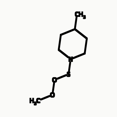 COOSN1CCC(C)CC1